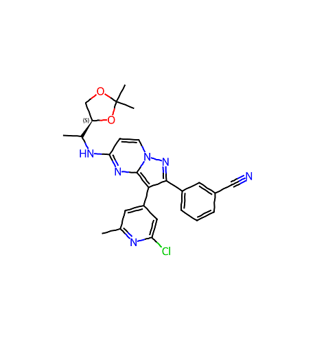 Cc1cc(-c2c(-c3cccc(C#N)c3)nn3ccc(NC(C)[C@H]4COC(C)(C)O4)nc23)cc(Cl)n1